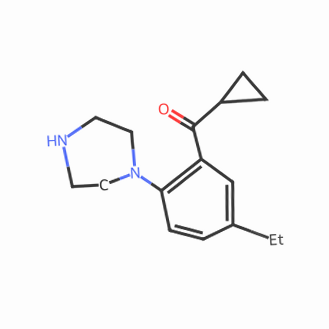 CCc1ccc(N2CCNCC2)c(C(=O)C2CC2)c1